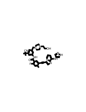 Cc1cc(F)c(C(=O)Nc2cc(CN3CCN(CCO)CC3)cc(C(C)(C)C#N)c2)cc1C#Cc1cnc2c(Nc3cn[nH]c3)cccn12